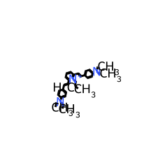 CCN(CC)c1ccc(/C=C/c2cccc(/C=C/c3ccc(N(CC)CC)cc3)[n+]2CC(C)C)cc1